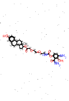 CC12CCC3c4ccc(O)cc4CCC3C1CCC2OC(=O)COCCOCCNC(=O)Oc1ccc(N)c(O)c1C(N)=O